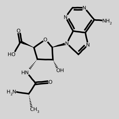 C[C@H](N)C(=O)N[C@H]1[C@@H](O)[C@H](n2cnc3c(N)ncnc32)O[C@@H]1C(=O)O